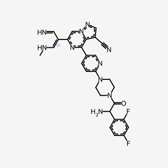 CN/C=C(\C=N)c1cn2ncc(C#N)c2c(-c2ccc(N3CCN(C(=O)C(N)c4ccc(F)cc4F)CC3)nc2)n1